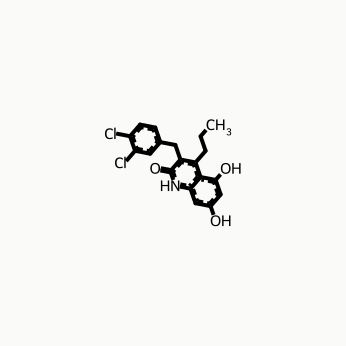 CCCc1c(Cc2ccc(Cl)c(Cl)c2)c(=O)[nH]c2cc(O)cc(O)c12